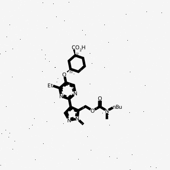 CCCCN(C)C(=O)OCc1c(-c2ncc(O[C@H]3CCC[C@H](C(=O)O)C3)c(CC)n2)cnn1C